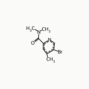 Cc1cc(C(=O)N(C)C)ncc1Br